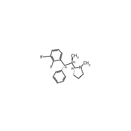 C[C@H]([C@H](c1ccccc1)c1cccc(F)c1F)[C@H]1CCCN1C